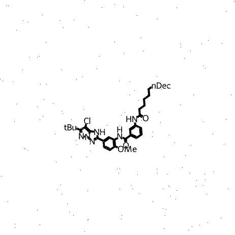 CCCCCCCCCCCCCCCC(=O)Nc1cccc(C(=O)Nc2cc(-c3nn4nc(C(C)(C)C)c(Cl)c4[nH]3)ccc2OC)c1